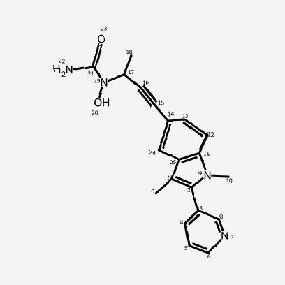 Cc1c(-c2cccnc2)n(C)c2ccc(C#CC(C)N(O)C(N)=O)cc12